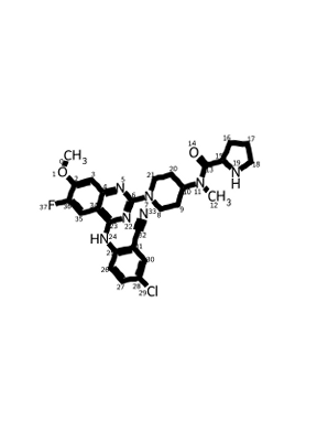 COc1cc2nc(N3CCC(N(C)C(=O)C4CCCN4)CC3)nc(Nc3ccc(Cl)cc3C#N)c2cc1F